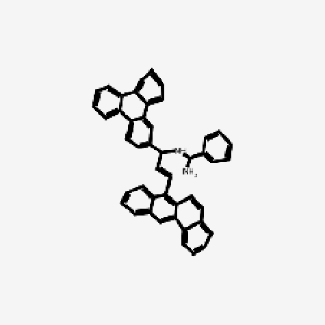 NC(NC(/C=C/c1c2ccccc2cc2c1ccc1ccccc12)c1ccc2c3ccccc3c3ccccc3c2c1)c1ccccc1